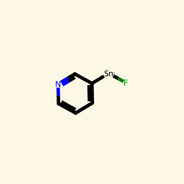 [F][Sn][c]1cccnc1